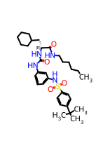 CCCCCCNC(=O)[C@@H](CC1CCCCC1)NC(=O)Nc1cccc(NS(=O)(=O)c2ccc(C(C)(C)C)cc2)c1